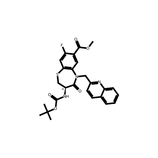 COC(=O)c1cc2c(cc1F)SC[C@H](NC(=O)OC(C)(C)C)C(=O)N2Cc1ccc2ccccc2n1